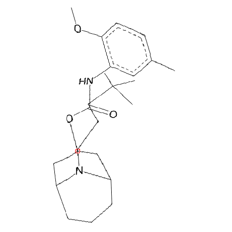 COc1ccc(C)cc1NC(=O)OC1CC2CCCC(C1)N2CCCC(C)(C)C